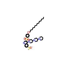 CCCCCCCCCCCCCCOc1ccc(S(=O)(=O)c2cnc3ccc([S+](C)[O-])cc3c2N2CCC(N3CCC(N4CCCCC4)CC3)CC2)cc1